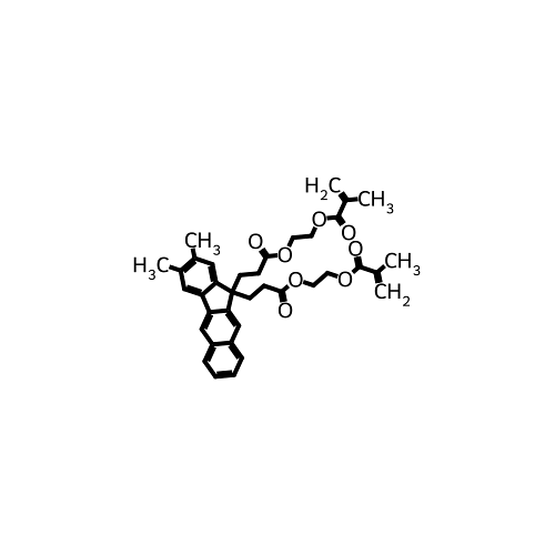 C=C(C)C(=O)OCCOC(=O)CCC1(CCC(=O)OCCOC(=O)C(=C)C)c2cc(C)c(C)cc2-c2cc3ccccc3cc21